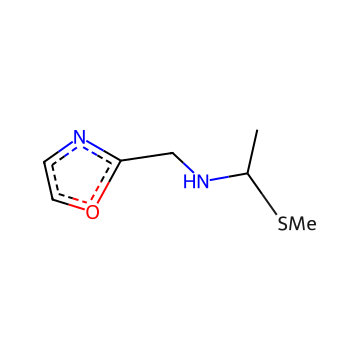 CSC(C)NCc1ncco1